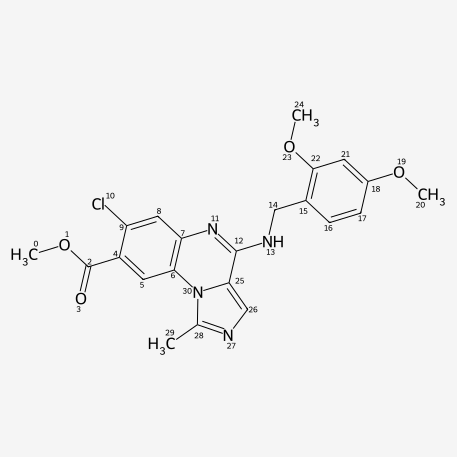 COC(=O)c1cc2c(cc1Cl)nc(NCc1ccc(OC)cc1OC)c1cnc(C)n12